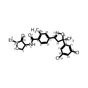 CCN1OCC(NC(=O)c2ccc(C3=NO[C@@](c4cc(Cl)cc(Cl)c4)(C(F)(F)F)C3)cc2C)C1=O